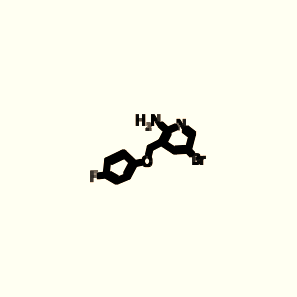 Nc1ncc(Br)cc1COc1ccc(F)cc1